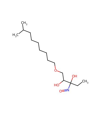 CCC(O)(N=O)C(O)COCCCCCCCC(C)C